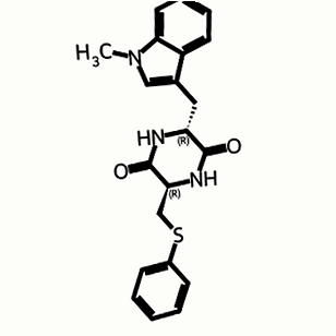 Cn1cc(C[C@H]2NC(=O)[C@H](CSc3ccccc3)NC2=O)c2ccccc21